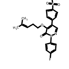 CC(C)=CCCOc1c(-c2ccc(S(C)(=O)=O)cc2)cnn(-c2ccc(F)cc2)c1=O